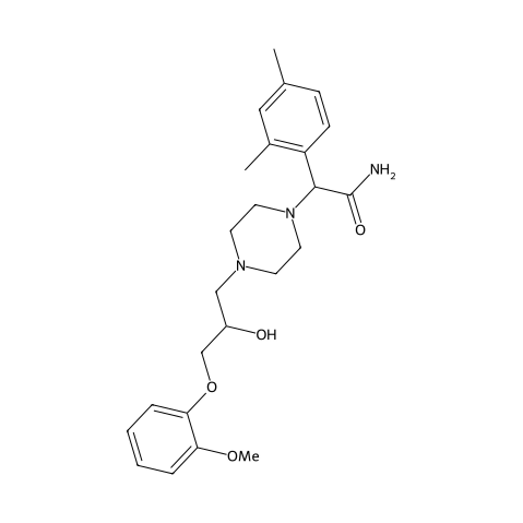 COc1ccccc1OCC(O)CN1CCN(C(C(N)=O)c2ccc(C)cc2C)CC1